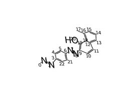 CN=Nc1ccc(N=Nc2ccc3cccc(C)c3c2O)cc1